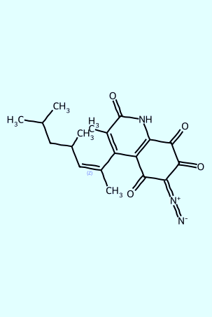 C/C(=C/C(C)CC(C)C)c1c(C)c(=O)[nH]c2c(=O)c(=O)c(=[N+]=[N-])c(=O)c12